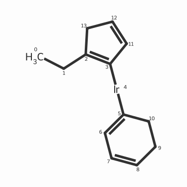 CCC1=[C]([Ir][C]2=CC=CCC2)C=CC1